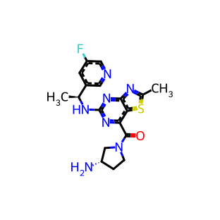 Cc1nc2nc(N[C@@H](C)c3cncc(F)c3)nc(C(=O)N3CC[C@H](N)C3)c2s1